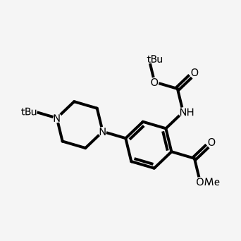 COC(=O)c1ccc(N2CCN(C(C)(C)C)CC2)cc1NC(=O)OC(C)(C)C